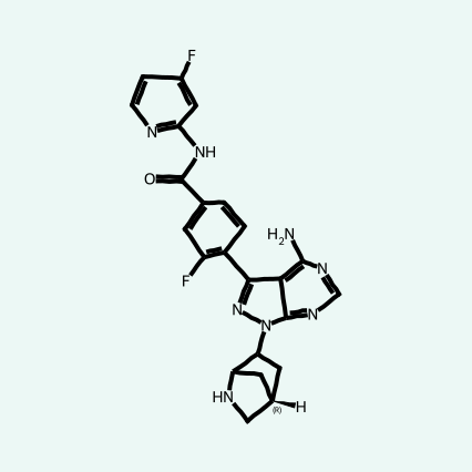 Nc1ncnc2c1c(-c1ccc(C(=O)Nc3cc(F)ccn3)cc1F)nn2C1C[C@@H]2CNC1C2